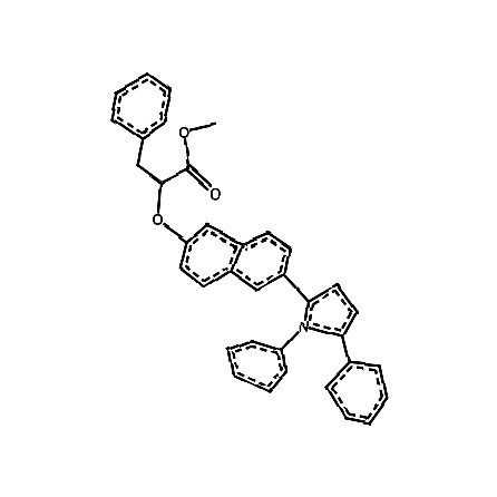 COC(=O)C(Cc1ccccc1)Oc1ccc2cc(-c3ccc(-c4ccccc4)n3-c3ccccc3)ccc2c1